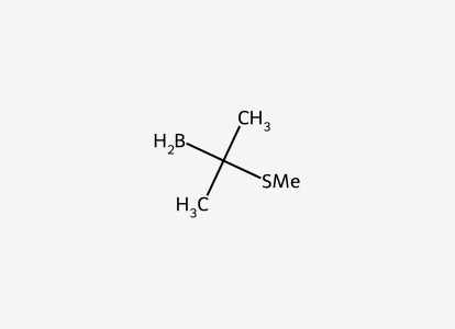 BC(C)(C)SC